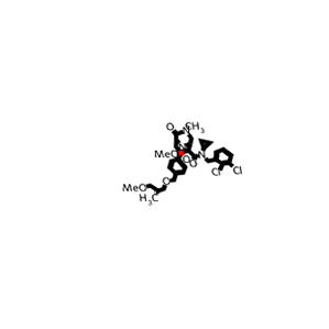 COC[C@H](C)COCc1ccc(C2=C(C(=O)N(Cc3cccc(Cl)c3Cl)C3CC3)C3CN(C)C(=O)C(C2)N3C(=O)OC)cc1